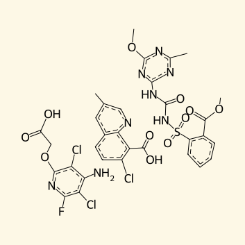 COC(=O)c1ccccc1S(=O)(=O)NC(=O)Nc1nc(C)nc(OC)n1.Cc1cnc2c(C(=O)O)c(Cl)ccc2c1.Nc1c(Cl)c(F)nc(OCC(=O)O)c1Cl